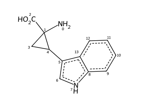 NC1(C(=O)O)CC1c1c[nH]c2ccccc12